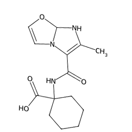 CC1=C(C(=O)NC2(C(=O)O)CCCCC2)N2C=COC2N1